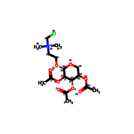 CC(=O)O[C@@H]1[C@@H](OC(C)=O)[C@H](OCC[N+](C)(C)CCl)OC[C@H]1OC(C)=O